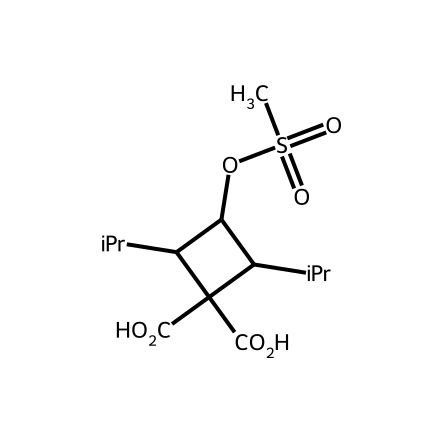 CC(C)C1C(OS(C)(=O)=O)C(C(C)C)C1(C(=O)O)C(=O)O